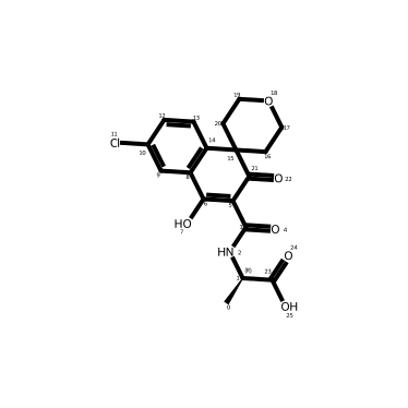 C[C@@H](NC(=O)C1=C(O)c2cc(Cl)ccc2C2(CCOCC2)C1=O)C(=O)O